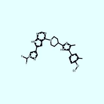 CCOc1ccc(-c2[nH]c(C3CCN(c4ncnc5[nH]c(-c6cnn(C(F)F)c6)cc45)CC3)nc2C)cc1C